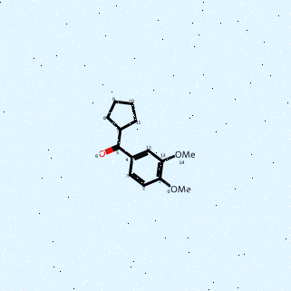 COc1ccc(C(=O)C2CCCC2)cc1OC